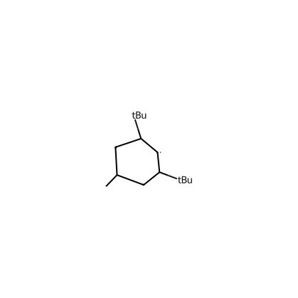 CC1CC(C(C)(C)C)[CH]C(C(C)(C)C)C1